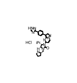 CC(C)[C@H]1CN(C[C@H]2CCCN2)C(=O)N1c1ccn2ncc(-c3ccc(-c4nc[nH]n4)cc3)c2n1.Cl